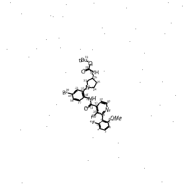 COc1cccc(F)c1-c1nccc(C(=O)Nc2ccc(Br)cc2N2CC[C@H](NC(=O)OC(C)(C)C)C2)c1F